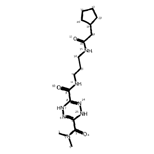 CN(C)C(=O)C1=NNC(C(=O)NCCCNC(=O)CC2CCCC2)=NN1